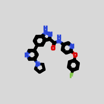 O=C(Nc1ccc(Oc2ccc(F)cc2)nc1)c1n[nH]c2ccc(-c3cncc(N4CCCC4)c3)cc12